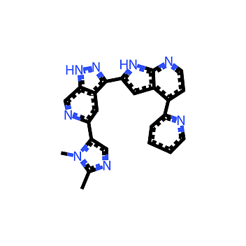 Cc1ncc(-c2cc3c(-c4cc5c(-c6ccccn6)ccnc5[nH]4)n[nH]c3cn2)n1C